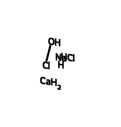 Cl.OCl.[CaH2].[NaH]